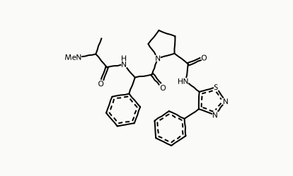 CNC(C)C(=O)NC(C(=O)N1CCCC1C(=O)Nc1snnc1-c1ccccc1)c1ccccc1